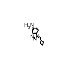 Nc1ccc2c(c1)nnn2CC1CCC1